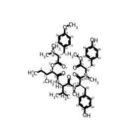 CC[C@@H](C)[C@@H](OC(=O)[C@@H](Cc1ccc(OC)cc1)N(C)C)C(=O)N[C@@H](C(=O)N(C)[C@H](Cc1ccc(O)cc1)C(=O)N(C)[C@@H](Cc1ccc(O)cc1)C(=O)OC)C(C)C